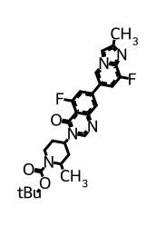 Cc1cn2cc(-c3cc(F)c4c(=O)n(C5CCN(C(=O)OC(C)(C)C)C(C)C5)cnc4c3)cc(F)c2n1